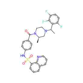 CC(c1c(F)ccc(F)c1F)N1CCN(C(=O)c2ccc(NS(=O)(=O)c3cccc4cccnc34)cc2)[C@H](C)C1